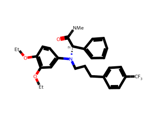 CCOc1ccc(N(CCCc2ccc(C(F)(F)F)cc2)[C@H](C(=O)NC)c2ccccc2)cc1OCC